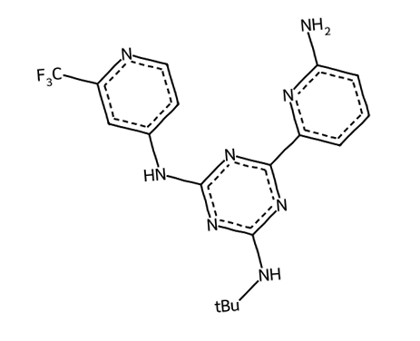 CC(C)(C)Nc1nc(Nc2ccnc(C(F)(F)F)c2)nc(-c2cccc(N)n2)n1